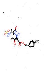 CC(C(=O)C(=[N+]=[N-])C(=O)OCc1ccc([N+](=O)[O-])cc1)[C@H]1NC(=O)[C@@H]1C(C)NS(C)(=O)=O